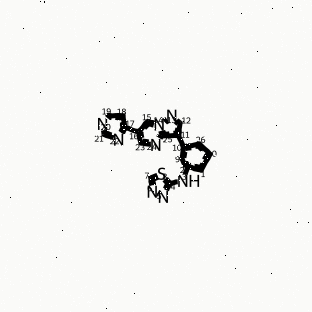 c1cc(Nc2nncs2)cc(-c2cnn3cc(-c4ccncn4)cnc23)c1